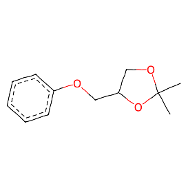 CC1(C)OCC(COc2ccccc2)O1